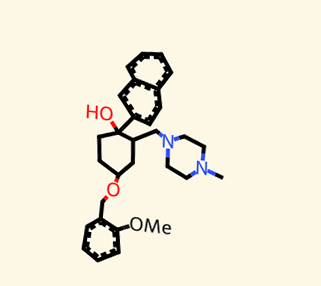 COc1ccccc1COC1CCC(O)(c2ccc3ccccc3c2)C(CN2CCN(C)CC2)C1